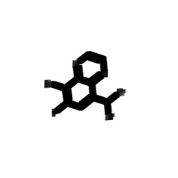 Fc1cc(C(Br)Br)c2nccnc2c1Br